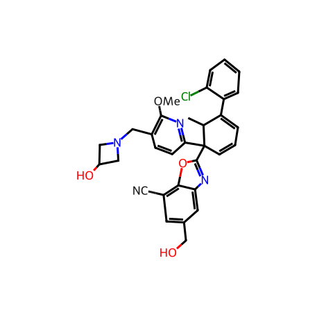 COc1nc(C2(c3nc4cc(CO)cc(C#N)c4o3)C=CC=C(c3ccccc3Cl)C2C)ccc1CN1CC(O)C1